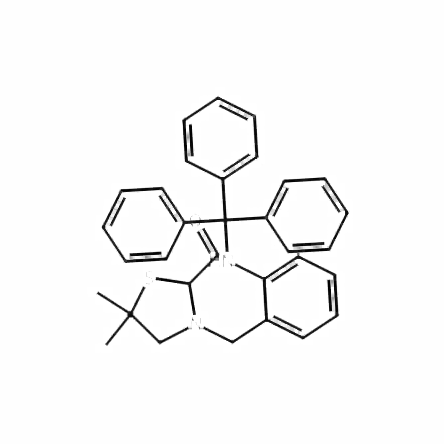 CC1(C)CN(Cc2ccccc2NC(c2ccccc2)(c2ccccc2)c2ccccc2)C(C=O)S1